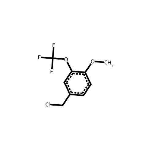 COc1ccc(CCl)cc1OC(F)(F)F